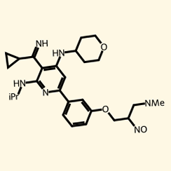 CNCC(COc1cccc(-c2cc(NC3CCOCC3)c(C(=N)C3CC3)c(NC(C)C)n2)c1)N=O